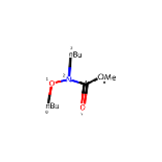 CCCCON(CCCC)C(=O)OC